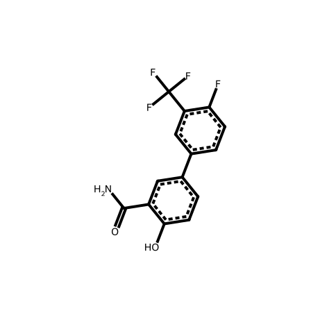 NC(=O)c1cc(-c2ccc(F)c(C(F)(F)F)c2)ccc1O